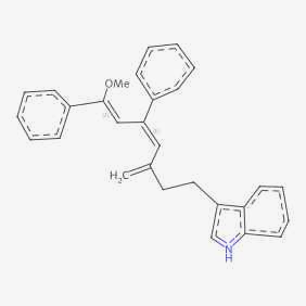 C=C(/C=C(\C=C(/OC)c1ccccc1)c1ccccc1)CCc1c[nH]c2ccccc12